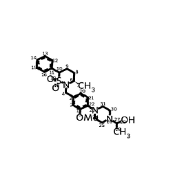 COc1cc(CN2[C@@H](C)CCC(c3ccccc3)S2(=O)=O)ccc1N1CCN(C(C)O)CC1